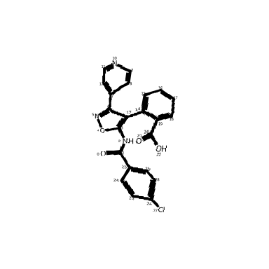 O=C(Nc1onc(-c2ccncc2)c1-c1ccccc1C(=O)O)c1ccc(Cl)cc1